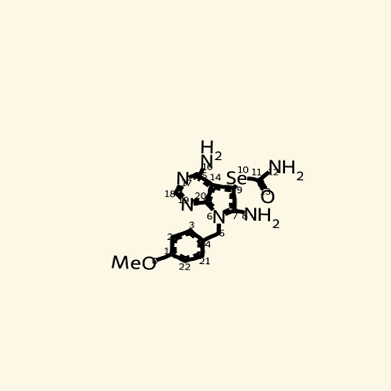 COc1ccc(Cn2c(N)c([Se]C(N)=O)c3c(N)ncnc32)cc1